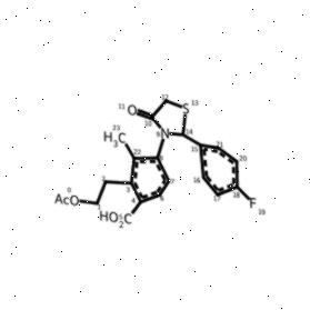 CC(=O)OCCc1c(C(=O)O)ccc(N2C(=O)CSC2c2ccc(F)cc2)c1C